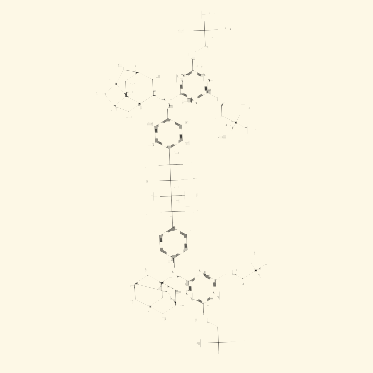 FC(F)(F)COc1nc(OCC(F)(F)F)nc(N(c2ccc(C(F)(F)C(F)(F)C(F)(F)C(F)(F)c3ccc(N(c4nc(OCC(F)(F)F)nc(OCC(F)(F)F)n4)C45CC6CC7CC(C4)C7(C6)C5)cc3)cc2)C23CC4CC(CC(C4)C2)C3)n1